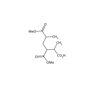 COC(=O)C(C)CC(C(=O)OC)C(C)C(=O)O